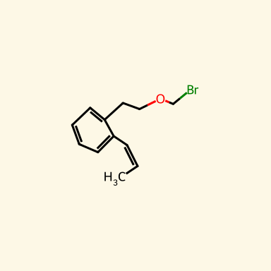 C/C=C\c1ccccc1CCOCBr